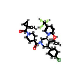 C[C@H](Oc1ccc(C(F)(F)F)cn1)[C@H]1CCN(C(=O)C2CCN(C(=O)C3(C)CC3)CC2)C[C@@H]1c1ccc(Cl)cc1